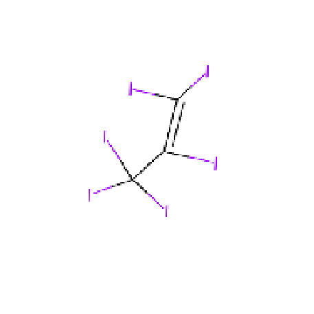 IC(I)=C(I)C(I)(I)I